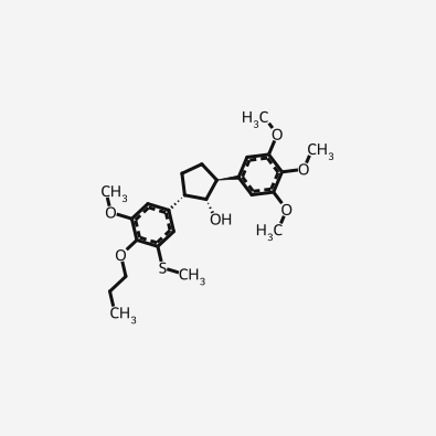 CCCOc1c(OC)cc([C@@H]2CC[C@@H](c3cc(OC)c(OC)c(OC)c3)[C@@H]2O)cc1SC